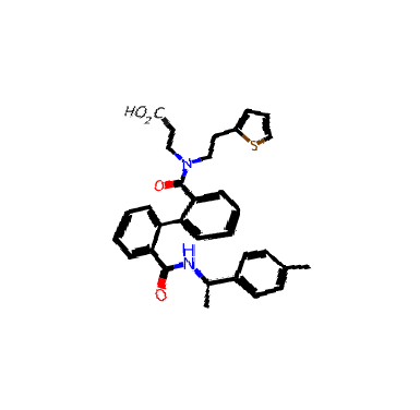 Cc1ccc([C@@H](C)NC(=O)c2ccccc2-c2ccccc2C(=O)N(CCC(=O)O)CCc2cccs2)cc1